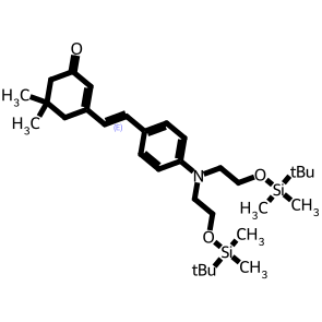 CC1(C)CC(=O)C=C(/C=C/c2ccc(N(CCO[Si](C)(C)C(C)(C)C)CCO[Si](C)(C)C(C)(C)C)cc2)C1